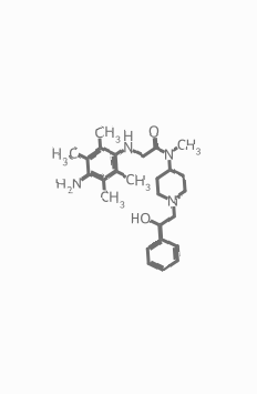 Cc1c(C)c(NCC(=O)N(C)C2CCN(CC(O)c3ccccc3)CC2)c(C)c(C)c1N